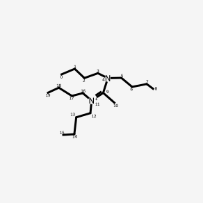 CCCCN(CCCC)C(C)=[N+](CCCC)CCCC